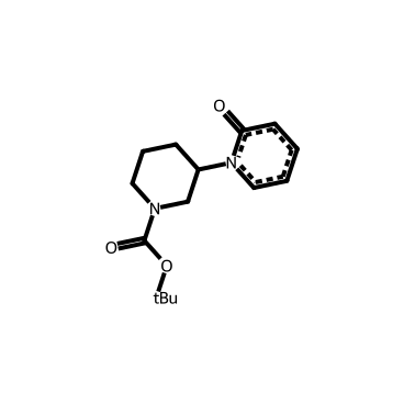 CC(C)(C)OC(=O)N1CCCC(n2ccccc2=O)C1